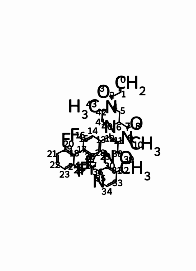 C=CC(=O)N1CC2C(=O)N(C)c3c(c4cc(F)c(-c5c(F)cccc5F)c(F)c4n(-c4c(C)ccnc4C(C)C)c3=O)N2CC1C